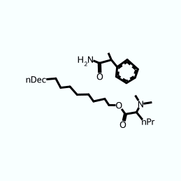 CC(C(N)=O)c1ccccc1.CCCCCCCCCCCCCCCCCCOC(=O)C(CCC)N(C)C